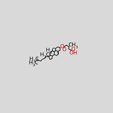 CC(C)CCCCC1CCC2C3CC=C4CC(OC(=O)CC(C)CC(=O)O)CCC4(C)C3CCC12C